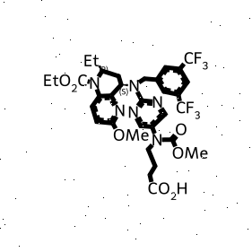 CCOC(=O)N1c2ccc(OC)nc2[C@@H](N(Cc2cc(C(F)(F)F)cc(C(F)(F)F)c2)c2ncc(N(CCCC(=O)O)C(=O)OC)cn2)C[C@H]1CC